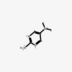 CN(C)c1cnc(N)nc1